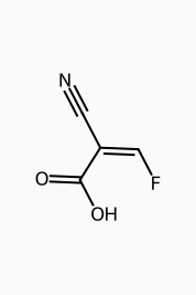 N#CC(=CF)C(=O)O